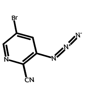 N#Cc1ncc(Br)cc1N=[N+]=[N-]